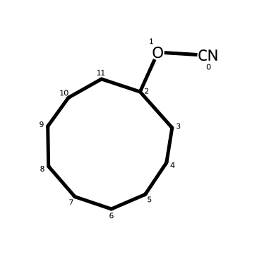 N#COC1CCCCCCCCC1